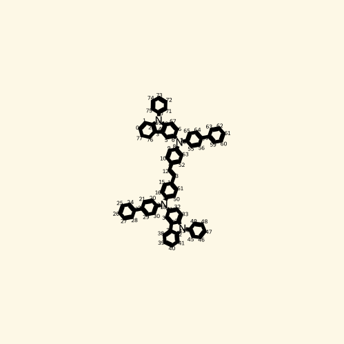 C1=Cc2c(c3cc(N(c4ccc(/C=C/c5ccc(N(c6ccc(-c7ccccc7)cc6)c6ccc7c(c6)c6ccccc6n7-c6ccccc6)cc5)cc4)c4ccc(-c5ccccc5)cc4)ccc3n2-c2ccccc2)CC1